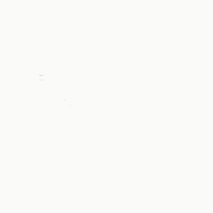 [CH2]CSC(C1CCCCC1)C1CCCCC1